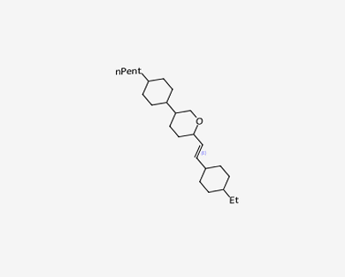 CCCCCC1CCC(C2CCC(/C=C/C3CCC(CC)CC3)OC2)CC1